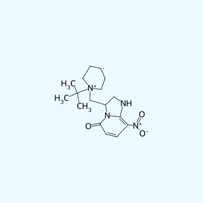 CC(C)(C)[N+]1(CC2CNc3c([N+](=O)[O-])ccc(=O)n32)CC[CH]CC1